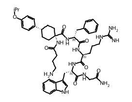 CC(C)Oc1ccc([C@H]2CC[C@](NC(=O)CCCN)(C(=O)N[C@H](Cc3ccccc3)C(=O)N[C@@H](CCCNC(=N)N)C(=O)N[C@@H](Cc3c[nH]c4ccccc34)C(=O)NCC(N)=O)CC2)cc1